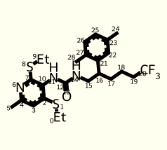 CCSc1cc(C)nc(SCC)c1NC(=O)NCC(CCCC(F)(F)F)c1cc(C)ccc1C